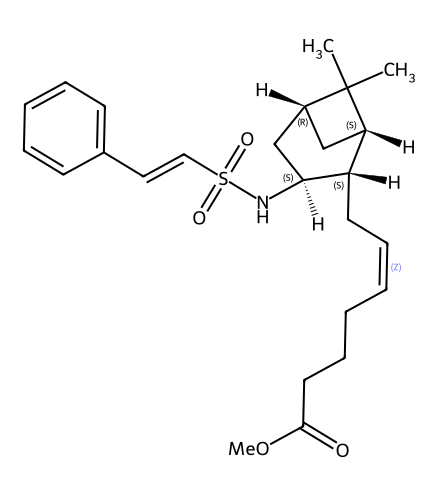 COC(=O)CCC/C=C\C[C@@H]1[C@@H](NS(=O)(=O)C=Cc2ccccc2)C[C@H]2C[C@@H]1C2(C)C